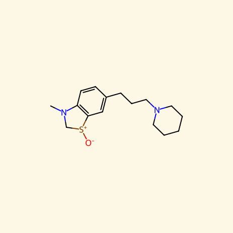 CN1C[S+]([O-])c2cc(CCCN3CCCCC3)ccc21